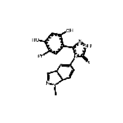 CC(C)c1cc(-c2n[nH]c(=S)n2C2=CC3C=NN(C)C3C=C2)c(O)cc1O